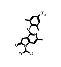 CCC(CC)N1C(=O)Cc2c1cc(C)nc2Oc1c(C)cc(C(F)(F)F)cc1C